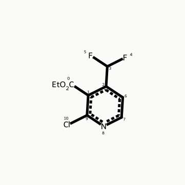 CCOC(=O)c1c(C(F)F)ccnc1Cl